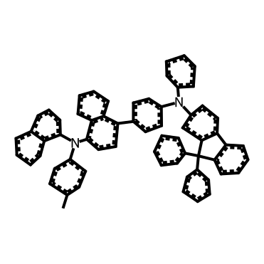 Cc1ccc(N(c2cccc3ccccc23)c2ccc(-c3ccc(N(c4ccccc4)c4ccc5c(c4)C(c4ccccc4)(c4ccccc4)c4ccccc4-5)cc3)c3ccccc23)cc1